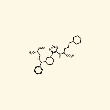 COC(C)COC(c1ccccc1)C1CCCN(c2nsnc2NN(CCCC2CCCCC2)C(=O)O)C1